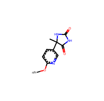 CCCOc1ccc(C2(C)NC(=O)NC2=O)cn1